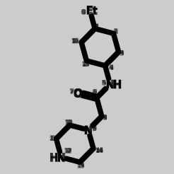 CCC1CCC(NC(=O)CN2CCNCC2)CC1